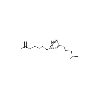 CNCCCCCn1cc(CCCC(C)C)nn1